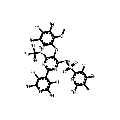 [2H]c1nc([2H])c([2H])c(-c2nc(NS(=O)(=O)c3nc([2H])c(C)c([2H])c3[2H])c(Oc3c([2H])c([2H])c([2H])c([2H])c3OC)c(OC([2H])([2H])[2H])n2)c1[2H]